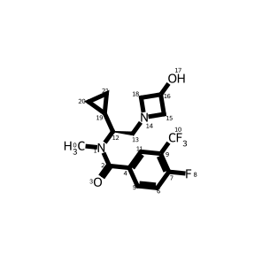 CN(C(=O)c1ccc(F)c(C(F)(F)F)c1)[C@H](CN1CC(O)C1)C1CC1